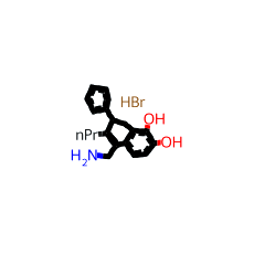 Br.CCCC1=C(CN)c2ccc(O)c(O)c2CC1c1ccccc1